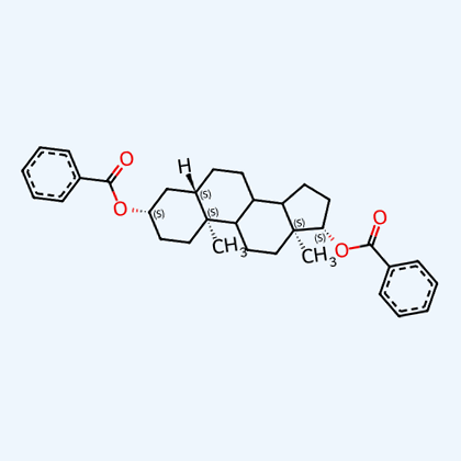 C[C@]12CCC3C(CC[C@H]4C[C@@H](OC(=O)c5ccccc5)CC[C@]34C)C1CC[C@@H]2OC(=O)c1ccccc1